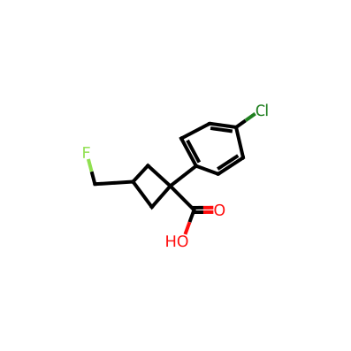 O=C(O)C1(c2ccc(Cl)cc2)CC(CF)C1